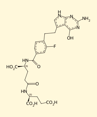 Nc1nc(O)c2c(CCc3ccc(C(=O)N[C@@H](CCC(=O)N[C@@H](CCC(=O)O)C(=O)O)C(=O)O)cc3F)c[nH]c2n1